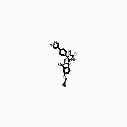 Cn1cc(-c2ccc([C@]3(CN4Cc5ccc(OCC6CC6)cc5C4=O)NC(=O)NC3=O)cc2)cn1